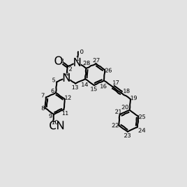 CN1C(=O)N(Cc2ccc(C#N)cc2)Cc2cc(C#CCc3ccccc3)ccc21